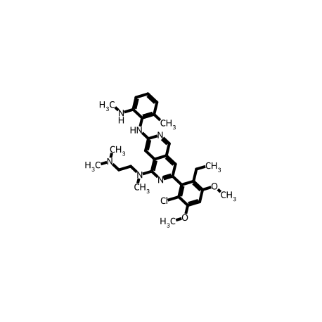 CCc1c(OC)cc(OC)c(Cl)c1-c1cc2cnc(Nc3c(C)cccc3NC)cc2c(N(C)CCN(C)C)n1